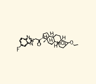 CCOC1C2[C@@H]3CC[C@@H]4[C@H](CC[C@]5(C)[C@@H](C(=O)Cn6nc7ccc(F)cc7n6)CC[C@@H]45)[C@H]3CC[C@]12O